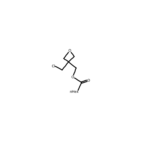 CCCCCCC(=O)OCC1(CCl)COC1